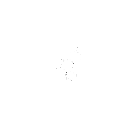 Cc1nc2c3ccc(Cl)cc3nc(Cl)n2n1